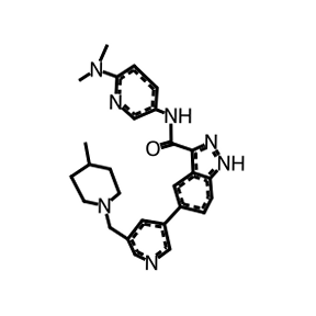 CC1CCN(Cc2cncc(-c3ccc4[nH]nc(C(=O)Nc5ccc(N(C)C)nc5)c4c3)c2)CC1